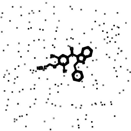 O=C(O)COc1c(Br)cc(C(=O)c2c(Cc3ccccc3)sc3ccccc23)cc1Br